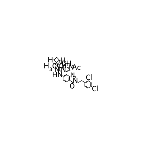 CC(=O)N1CCCN(/C(=N\C2C[C@@H]3C[C@H]([C@@H]2C)C3(C)C)Nc2ccc3c(=O)n(CCc4ccc(Cl)cc4Cl)cnc3c2)CC1